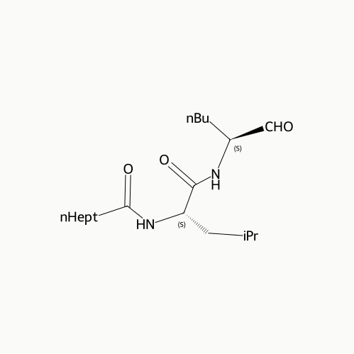 CCCCCCCC(=O)N[C@@H](CC(C)C)C(=O)N[C@H](C=O)CCCC